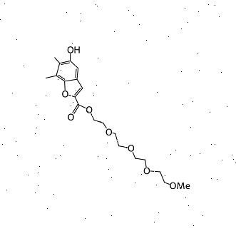 COCCOCCOCCOCCOC(=O)c1cc2cc(O)c(C)c(C)c2o1